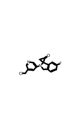 O=C1CC12c1cc(F)ccc1CN2c1cncc(CCl)c1